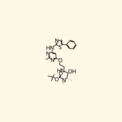 Cc1nc(Nc2ncc(-c3ccccc3)s2)cc(OCCNC(O)[C@H](C)N(C)C(=O)OC(C)(C)C)n1